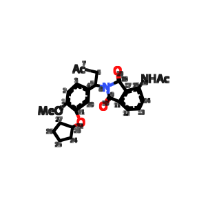 COc1ccc(C(CC(C)=O)N2C(=O)c3cccc(NC(C)=O)c3C2=O)cc1OC1CCCC1